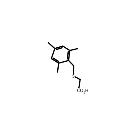 Cc1cc(C)c(CSCC(=O)O)c(C)c1